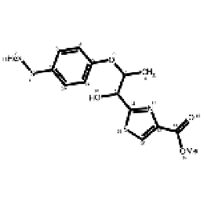 CCCCCCSc1ccc(OC(C)C(O)c2nc(C(=O)OC)cs2)cc1